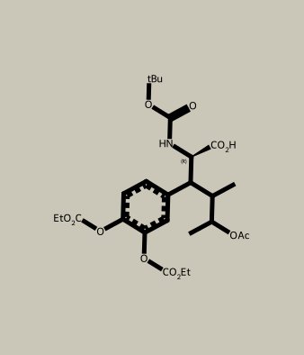 CCOC(=O)Oc1ccc(C(C(C)C(C)OC(C)=O)[C@@H](NC(=O)OC(C)(C)C)C(=O)O)cc1OC(=O)OCC